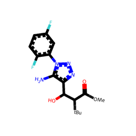 COC(=O)C(C(O)c1nnn(-c2cc(F)ccc2F)c1N)C(C)(C)C